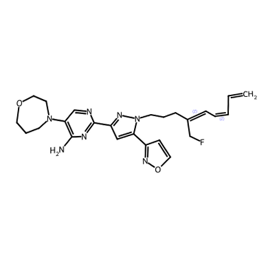 C=C/C=C\C=C(/CF)CCCn1nc(-c2ncc(N3CCCOCC3)c(N)n2)cc1-c1ccon1